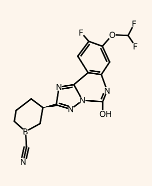 N#CB1CCC[C@@H](c2nc3c4cc(F)c(OC(F)F)cc4nc(O)n3n2)C1